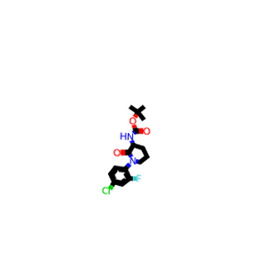 CC(C)(C)OC(=O)NC1CCCN(c2ccc(Cl)cc2F)C1=O